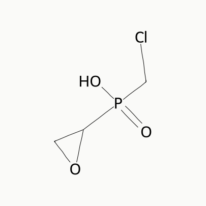 O=P(O)(CCl)C1CO1